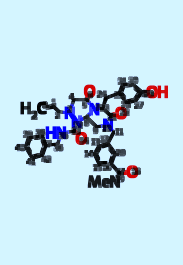 C=CCN1CC(=O)N2C(CN(Cc3cccc(C(=O)NC)c3)C(=O)[C@@H]2Cc2ccc(O)cc2)N1C(=O)NCc1ccccc1